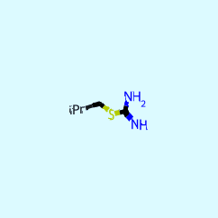 CC(C)CSC(=N)N